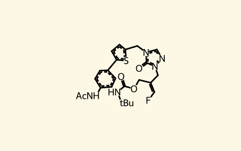 CC(=O)Nc1ccc(-c2ccc(Cn3cnn(C/C(=C/F)COC(=O)NC(C)(C)C)c3=O)s2)cc1